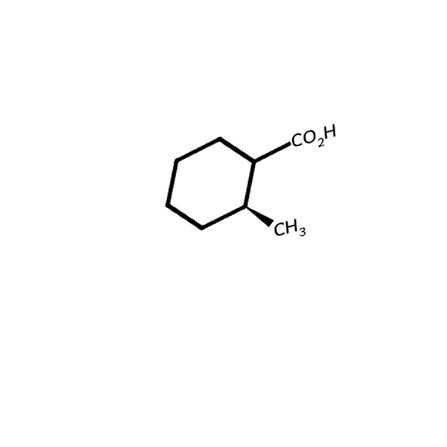 C[C@H]1CCCCC1C(=O)O